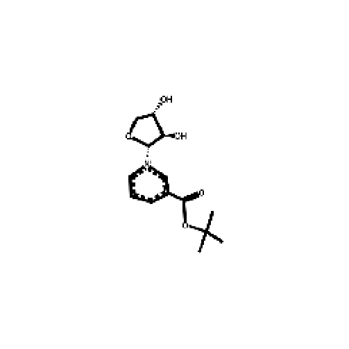 CC(C)(C)OC(=O)c1ccc[n+]([C@@H]2OC[C@H](O)[C@H]2O)c1